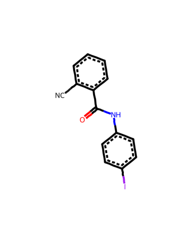 N#Cc1ccccc1C(=O)Nc1ccc(I)cc1